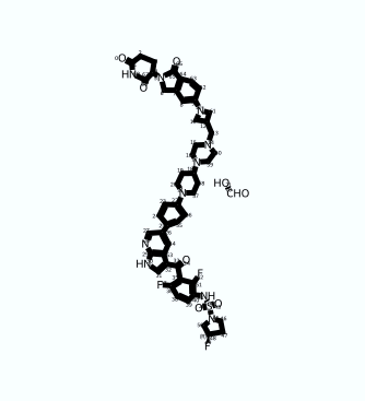 O=C1CCC(N2Cc3cc(N4CC(CN5CCN(C6CCN(c7ccc(-c8cnc9[nH]cc(C(=O)c%10c(F)ccc(NS(=O)(=O)N%11CC[C@@H](F)C%11)c%10F)c9c8)cc7)CC6)CC5)C4)ccc3C2=O)C(=O)N1.O=CO